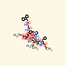 C=CCOC(=O)[C@H]1O[C@@H](Oc2ccc(C[N+]3(C)CCCC[C@@H]3C(=O)N[C@H](C(=O)N(C)[C@H](C[C@@H](OCC(=C)C)c3nc(C(=O)N[C@@H](Cc4ccccc4)C[C@H](C)C(=O)OCC=C)cs3)C(C)C)[C@@H](C)CC)cc2NC(=O)CCNC(=O)OCC2c3ccccc3-c3ccccc32)[C@H](O)[C@@H](O)[C@@H]1O